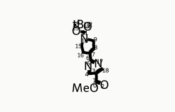 COC(=O)c1cnc(C2=CCN(C(=O)OC(C)(C)C)CC2)nc1